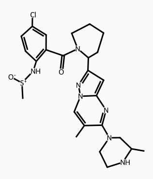 Cc1cn2nc(C3CCCCN3C(=O)c3cc(Cl)ccc3N[S+](C)[O-])cc2nc1N1CCNC(C)C1